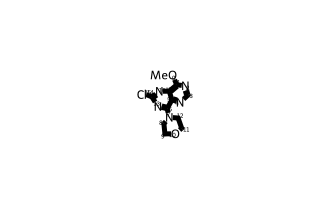 COc1ncnc2c(N3CCOCC3)nc(Cl)nc12